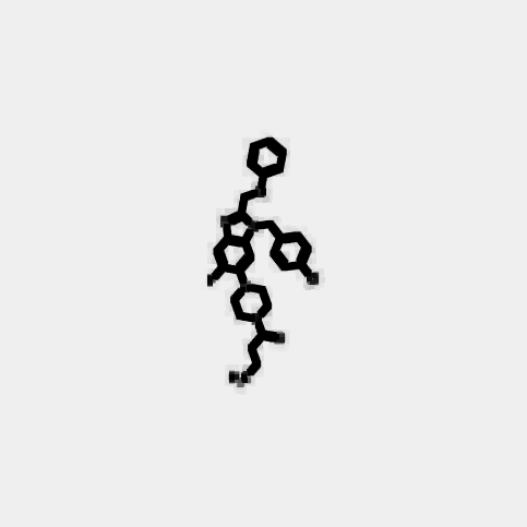 CCCC(=O)N1CCN(c2cc3c(cc2F)nc(COc2ccccc2)n3Cc2ccc(Cl)cc2)CC1